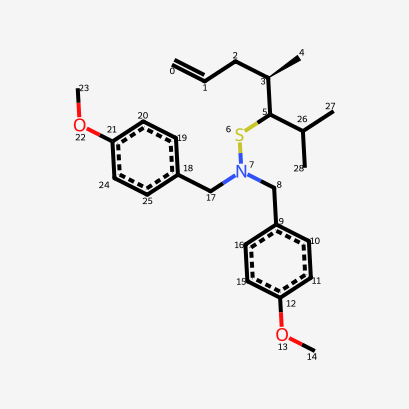 C=CC[C@@H](C)C(SN(Cc1ccc(OC)cc1)Cc1ccc(OC)cc1)C(C)C